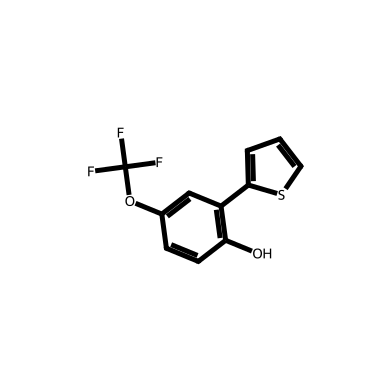 Oc1ccc(OC(F)(F)F)cc1-c1cccs1